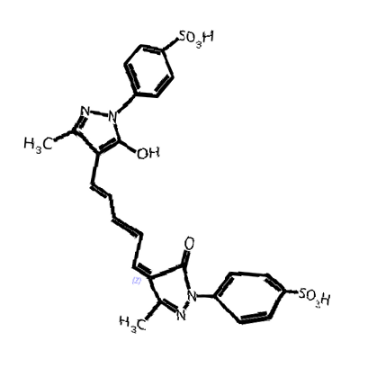 CC1=NN(c2ccc(S(=O)(=O)O)cc2)C(=O)/C1=C\C=CC=Cc1c(C)nn(-c2ccc(S(=O)(=O)O)cc2)c1O